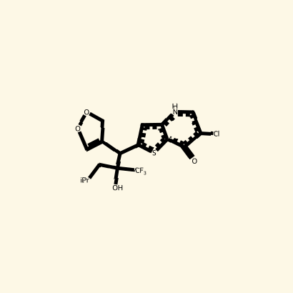 CC(C)CC(O)(C(C1=COOC1)c1cc2[nH]cc(Cl)c(=O)c2s1)C(F)(F)F